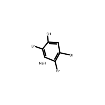 Sc1cc(Br)c(Br)cc1Br.[NaH]